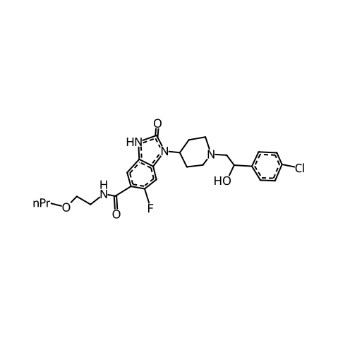 CCCOCCNC(=O)c1cc2[nH]c(=O)n(C3CCN(CC(O)c4ccc(Cl)cc4)CC3)c2cc1F